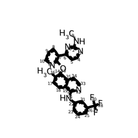 CNc1nccc(-c2cccnc2Oc2c(C)ccc3c(Nc4cccc(C(F)(F)F)c4)nccc23)n1